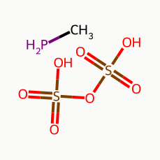 CP.O=S(=O)(O)OS(=O)(=O)O